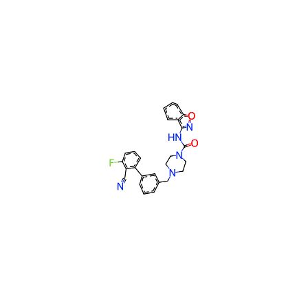 N#Cc1c(F)cccc1-c1cccc(CN2CCN(C(=O)Nc3noc4ccccc34)CC2)c1